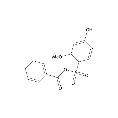 COc1cc(O)ccc1S(=O)(=O)OC(=O)c1ccccc1